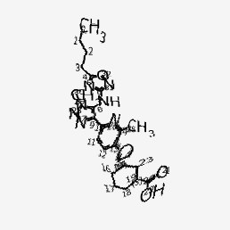 CCCCc1nc(Nc2c(-c3ccc(O[C@H]4CCC[C@H](C(=O)O)C4)c(C)n3)nnn2C)no1